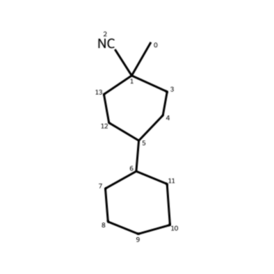 CC1(C#N)CCC(C2CCCCC2)CC1